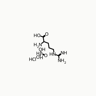 Cl.N=C(N)NCCCC(N)C(=O)O.O=[PH](O)O